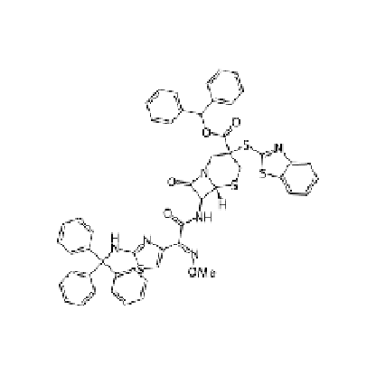 CON=C(C(=O)NC1C(=O)N2CC(Sc3nc4ccccc4s3)(C(=O)OC(c3ccccc3)c3ccccc3)CS[C@H]12)c1csc(NC(c2ccccc2)(c2ccccc2)c2ccccc2)n1